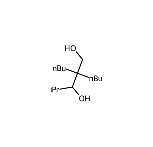 CCCCC(CO)(CCCC)C(O)C(C)C